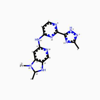 Cc1n[nH]c(-c2nccc(Nc3cc4c(cn3)NC(C)N4C(C)C)n2)n1